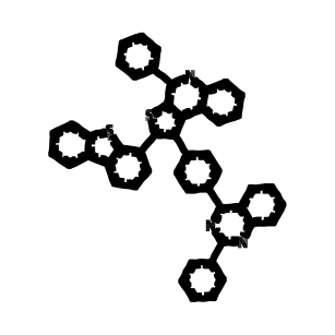 c1ccc(-c2nc(-c3ccc(-c4c(-c5cccc6c5sc5ccccc56)sc5c(-c6ccccc6)nc6ccccc6c45)cc3)c3ccccc3n2)cc1